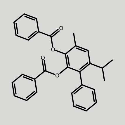 Cc1cc(C(C)C)c(-c2ccccc2)c(OC(=O)c2ccccc2)c1OC(=O)c1ccccc1